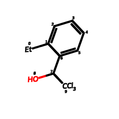 CCc1ccccc1C(O)C(Cl)(Cl)Cl